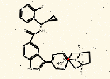 O=C(N[C@H](c1ccccc1F)C1CC1)c1ccc2[nH]nc(-c3ccc(N4[C@@H]5CC[C@H]4C[C@H](O)C5)cc3)c2c1